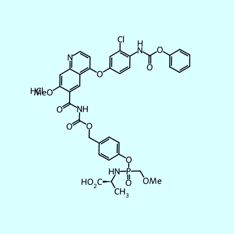 COCP(=O)(N[C@@H](C)C(=O)O)Oc1ccc(COC(=O)NC(=O)c2cc3c(Oc4ccc(NC(=O)Oc5ccccc5)c(Cl)c4)ccnc3cc2OC)cc1.Cl